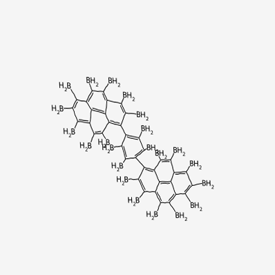 Bc1c(B)c(-c2c(B)c(B)c3c(B)c(B)c4c(B)c(B)c(B)c5c(B)c(B)c2c3c45)c(B)c(B)c1-c1c(B)c(B)c2c(B)c(B)c3c(B)c(B)c(B)c4c(B)c(B)c1c2c34